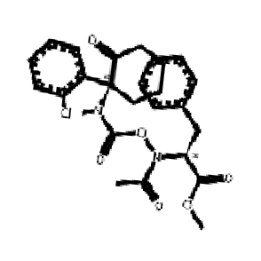 COC(=O)[C@H](Cc1ccccc1)N(OC(=O)N(C)[C@]1(c2ccccc2Cl)CCCCC1=O)C(C)=O